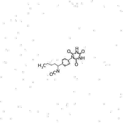 CCCCC(N=C=O)c1ccc(-n2c(=O)[nH]c(=O)[nH]c2=O)cc1